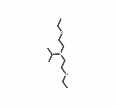 CCNCCN(CCOCC)C(C)C